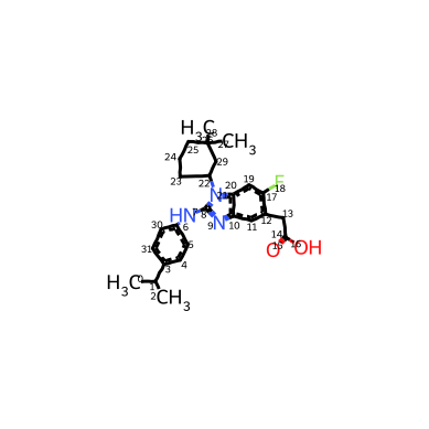 CC(C)c1ccc(Nc2nc3cc(CC(=O)O)c(F)cc3n2C2CCCC(C)(C)C2)cc1